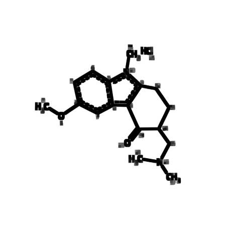 COc1ccc2c(c1)c1c(n2C)CCC(CN(C)C)C1=O.Cl